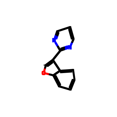 [c]1oc2ccccc2c1-c1ncccn1